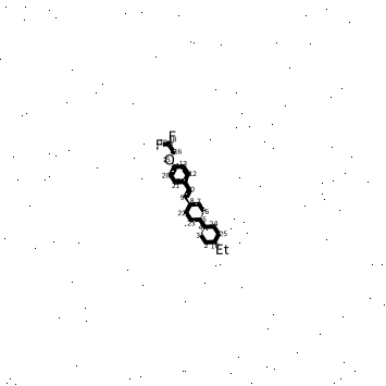 CC[C@H]1CC[C@H]([C@H]2CC[C@H](C=Cc3ccc(OCC(F)F)cc3)CC2)CC1